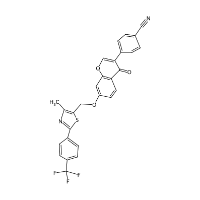 Cc1nc(-c2ccc(C(F)(F)F)cc2)sc1COc1ccc2c(=O)c(-c3ccc(C#N)cc3)coc2c1